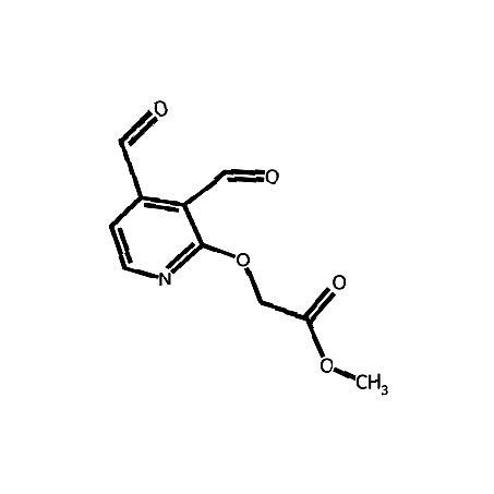 COC(=O)COc1nccc(C=O)c1C=O